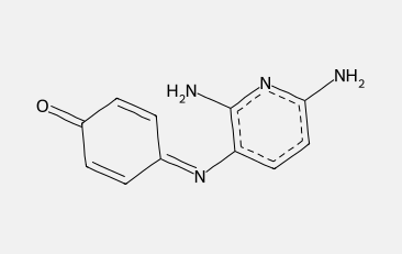 Nc1ccc(N=C2C=CC(=O)C=C2)c(N)n1